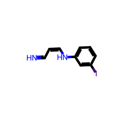 N=C/C=C\Nc1cccc(I)c1